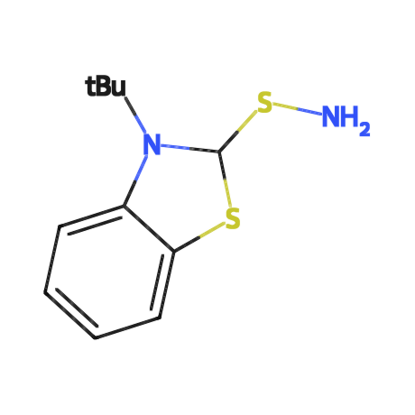 CC(C)(C)N1c2ccccc2SC1SN